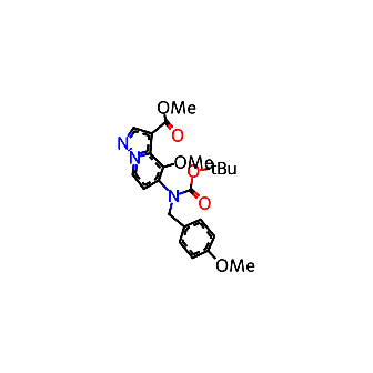 COC(=O)c1cnn2ccc(N(Cc3ccc(OC)cc3)C(=O)OC(C)(C)C)c(OC)c12